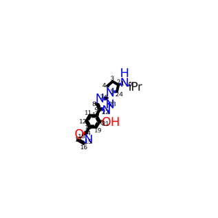 CC(C)NC1CCN(c2ncc(-c3ccc(-c4ncco4)cc3O)nn2)C1